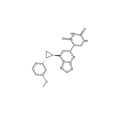 COc1cccc([C@@H]2C[C@H]2c2cc(-c3c[nH]c(=O)[nH]c3=O)nn3ccnc23)c1